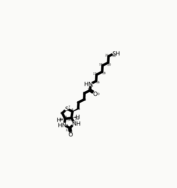 O=C(CCCC[C@@H]1SC[C@@H]2NC(=O)N[C@@H]21)NCCCCCCS